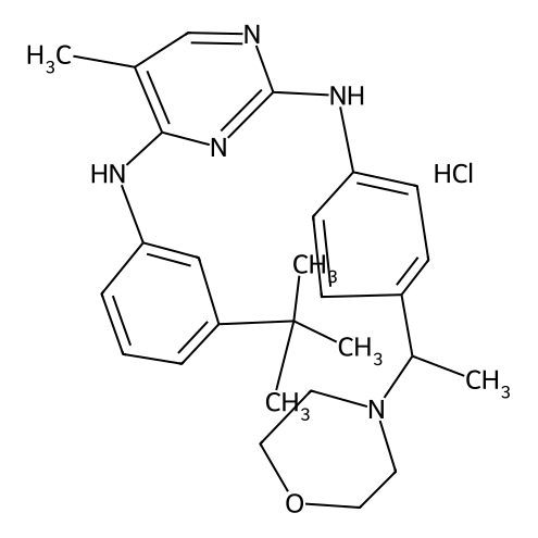 Cc1cnc(Nc2ccc(C(C)N3CCOCC3)cc2)nc1Nc1cccc(C(C)(C)C)c1.Cl